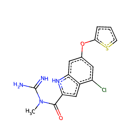 CN(C(=N)N)C(=O)c1cc2c(Cl)cc(Oc3cccs3)cc2[nH]1